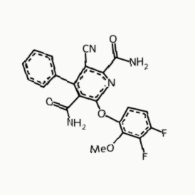 COc1c(Oc2nc(C(N)=O)c(C#N)c(-c3ccccc3)c2C(N)=O)ccc(F)c1F